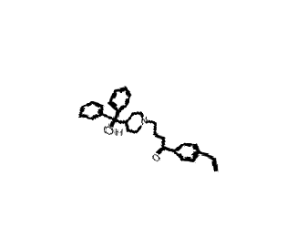 C=Cc1ccc(C(=O)CCCN2CCC(C(O)(c3ccccc3)c3ccccc3)CC2)cc1